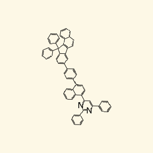 c1ccc(-c2cc(-c3ccc(-c4ccc(-c5ccc6c(c5)-c5ccc7ccccc7c5C6(c5ccccc5)c5ccccc5)cc4)c4ccccc34)nc(-c3ccccc3)n2)cc1